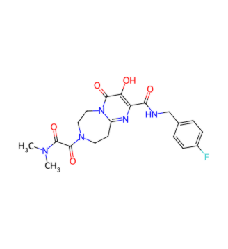 CN(C)C(=O)C(=O)N1CCc2nc(C(=O)NCc3ccc(F)cc3)c(O)c(=O)n2CC1